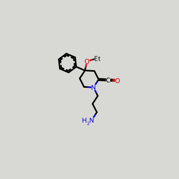 CCOC1(c2ccccc2)CCN(CCCN)C(=C=O)C1